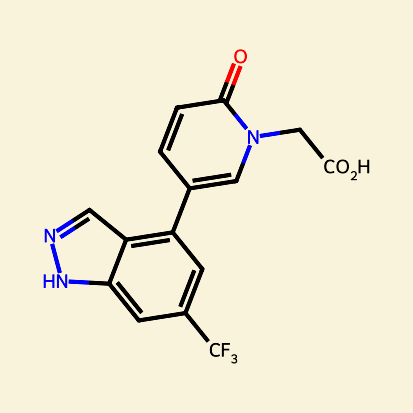 O=C(O)Cn1cc(-c2cc(C(F)(F)F)cc3[nH]ncc23)ccc1=O